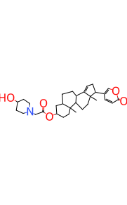 CC12CCC3C(CCC4CC(OC(=O)CN5CCC(O)CC5)CCC43C)C1=CCC2c1ccc(=O)oc1